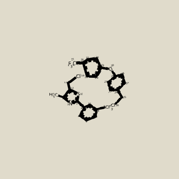 Cc1nc(-c2cccc(C(F)(F)F)c2)sc1CCl.FC(F)(F)c1ccc(Oc2ccc(CCl)cc2)cc1